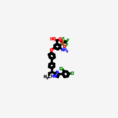 CCC(c1ccc(-c2ccc(Oc3cc(N)c(S(=O)(=O)C(F)(F)F)c(C(=O)O)c3)cc2)cc1)c1nc(-c2ccc(Cl)cc2Cl)c[nH]1